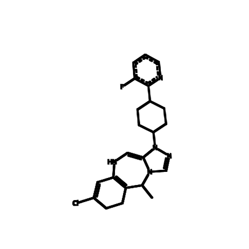 CC1C2=C(C=C(Cl)CC2)NC=C2N1C=NN2C1CCC(c2ncccc2F)CC1